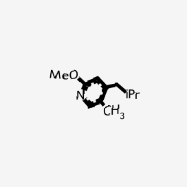 COc1cc(CC(C)C)c(C)cn1